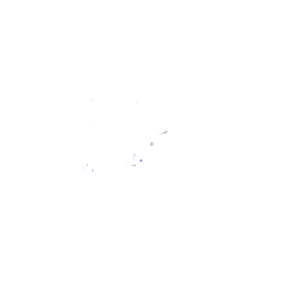 CCCC(C[C@@H]1CC(C(=O)OC)=C2Nc3ccccc3C23CCN(CC=C(C)C)C13)C1OCCO1